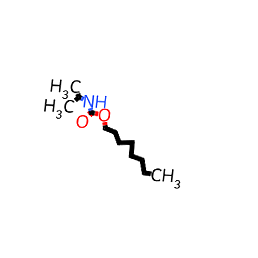 CCCCCCCCOC(=O)NC(C)C